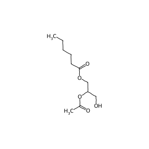 CCCCCC(=O)OCC(CO)OC(C)=O